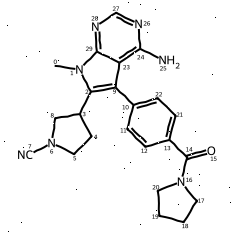 Cn1c(C2CCN(C#N)C2)c(-c2ccc(C(=O)N3CCCC3)cc2)c2c(N)ncnc21